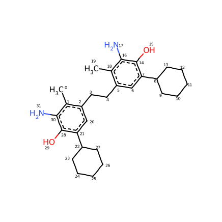 Cc1c(CCc2cc(C3CCCCC3)c(O)c(N)c2C)cc(C2CCCCC2)c(O)c1N